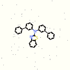 c1ccc(-c2cccc(N(c3cccc(-c4ccccc4)c3)c3nc4ccccc4s3)c2)cc1